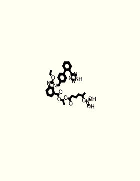 CCOc1nc2cccc(C(=O)OC(C)OC(=O)CCCC(C)ON(O)O)c2n1Cc1ccc(-c2ccccc2-c2nn[nH]n2)cc1